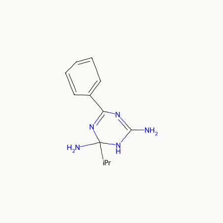 CC(C)C1(N)N=C(c2ccccc2)N=C(N)N1